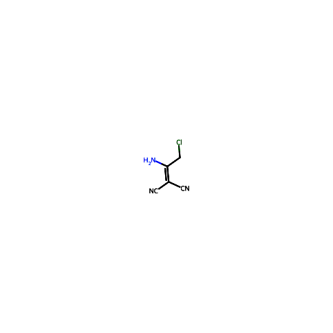 N#CC(C#N)=C(N)CCl